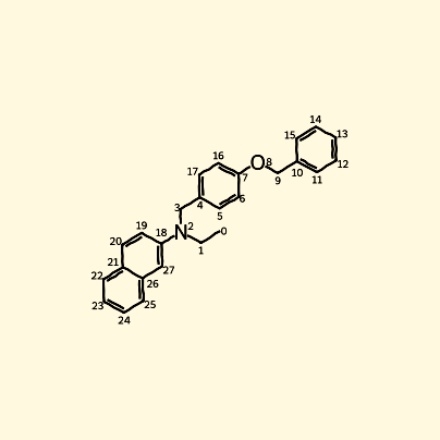 CCN(Cc1ccc(OCc2ccccc2)cc1)c1ccc2ccccc2c1